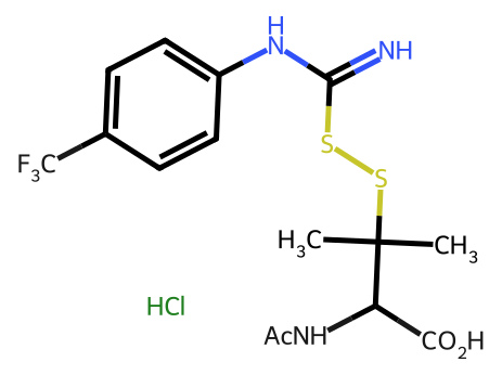 CC(=O)NC(C(=O)O)C(C)(C)SSC(=N)Nc1ccc(C(F)(F)F)cc1.Cl